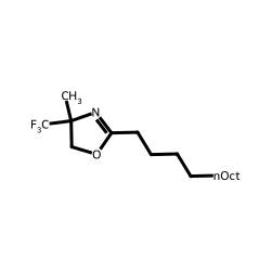 CCCCCCCCCCCCC1=NC(C)(C(F)(F)F)CO1